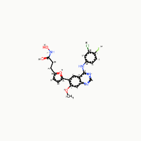 COc1cc2ncnc(Nc3ccc(F)c(Cl)c3)c2cc1-c1ccc(CCC(=O)NO)o1